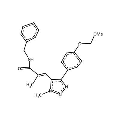 COCOc1ccc(-c2nnn(C)c2/C=C(\C)C(=O)NCc2ccccc2)cc1